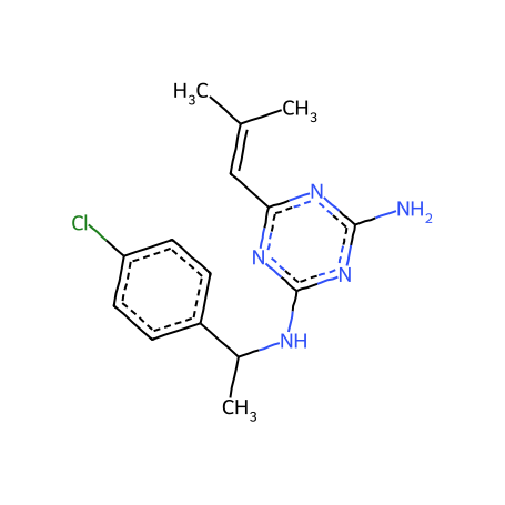 CC(C)=Cc1nc(N)nc(NC(C)c2ccc(Cl)cc2)n1